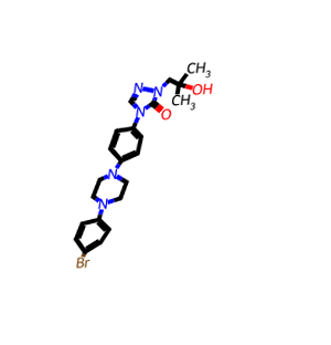 CC(C)(O)Cn1ncn(-c2ccc(N3CCN(c4ccc(Br)cc4)CC3)cc2)c1=O